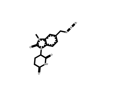 Cn1c(=O)n(C2CCC(=O)NC2=O)c2ccc(CN=[N+]=[N-])cc21